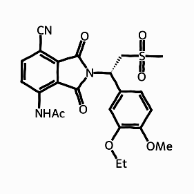 CCOc1cc([C@@H](CS(C)(=O)=O)N2C(=O)c3c(C#N)ccc(NC(C)=O)c3C2=O)ccc1OC